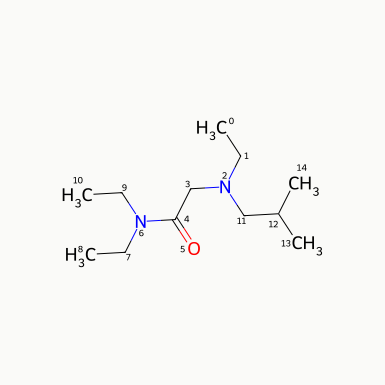 CCN(CC(=O)N(CC)CC)CC(C)C